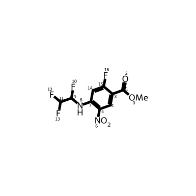 COC(=O)c1cc([N+](=O)[O-])c(NC(F)C(F)F)cc1F